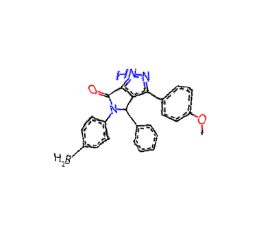 Bc1ccc(N2C(=O)c3[nH]nc(-c4ccc(OC)cc4)c3C2c2ccccc2)cc1